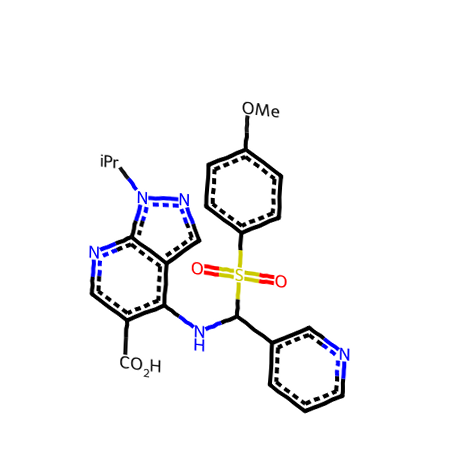 COc1ccc(S(=O)(=O)C(Nc2c(C(=O)O)cnc3c2cnn3C(C)C)c2cccnc2)cc1